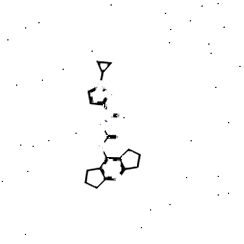 O=C(/N=[SH](=O)/c1ccn(C2CC2)n1)Nc1c2c(nc3c1CCC3)CCC2